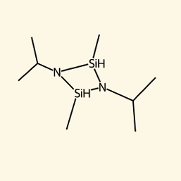 CC(C)N1[SiH](C)N(C(C)C)[SiH]1C